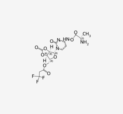 C[C@H](N)C(=O)ONc1ccn([C@@H]2O[C@H](COC(=O)CC(F)(F)F)[C@H]3OC(=O)O[C@H]32)c(=O)n1